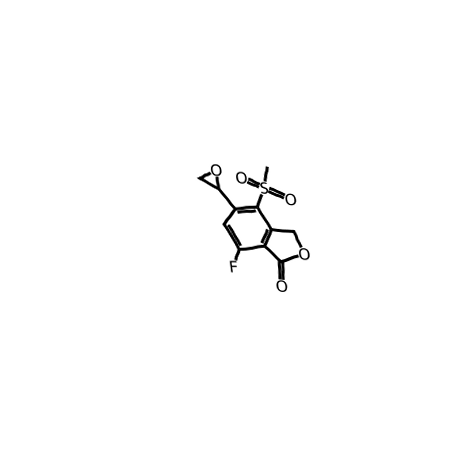 CS(=O)(=O)c1c(C2CO2)cc(F)c2c1COC2=O